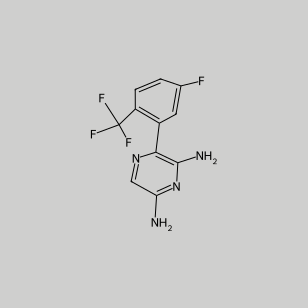 Nc1cnc(-c2cc(F)ccc2C(F)(F)F)c(N)n1